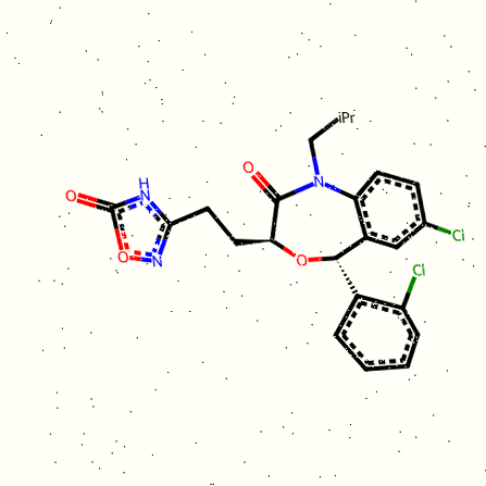 CC(C)CN1C(=O)[C@H](CCc2noc(=O)[nH]2)O[C@@H](c2ccccc2Cl)c2cc(Cl)ccc21